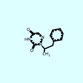 CC(Cc1ccccc1)n1ncc(=O)[nH]c1=O